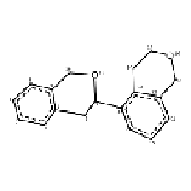 [c]1ccc2c(c1)CC(c1cccc3c1CCOC3)OC2